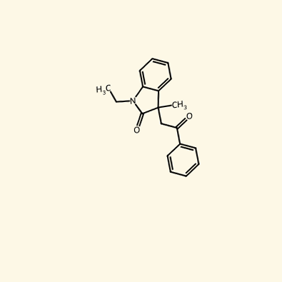 CCN1C(=O)C(C)(CC(=O)c2ccccc2)c2ccccc21